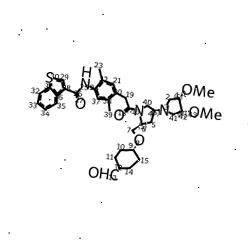 CO[C@H]1CN([C@H]2C[C@@H](CO[C@H]3CC[C@H](C=O)CC3)N(C(=O)Cc3cc(C)c(NC(=O)c4csc5ccccc45)cc3C)C2)C[C@H]1OC